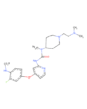 CN(C)CCN1CCC(N(C)C(=O)Nc2cc(Oc3ccc(NC(=O)O)c(F)c3)ccn2)CC1